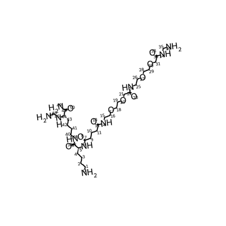 NCCCC[C@H](NC(=O)CCCC(=O)NCCOCCOCC(=O)NCCOCCOCC(=O)NCN)C(=O)NCCCC[C@H](NCN)C(N)=O